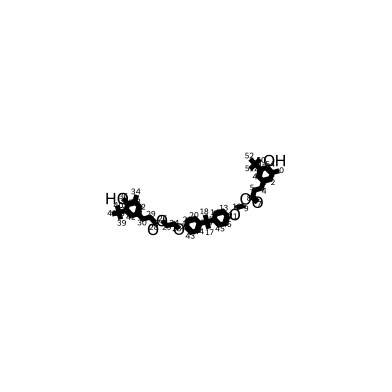 Cc1cc(CCC(=O)OCCOc2ccc(C(C)(C)c3ccc(OCCOC(=O)CCc4cc(C)c(O)c(C(C)(C)C)c4)cc3)cc2)cc(C(C)(C)C)c1O